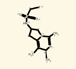 CC1=N[C@@H](C)C(C)=C2CC(NS(=O)(=O)CF)CN12